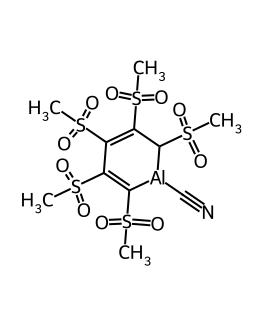 CS(=O)(=O)C1=C(S(C)(=O)=O)[CH](S(C)(=O)=O)[Al]([C]#N)[C](S(C)(=O)=O)=C1S(C)(=O)=O